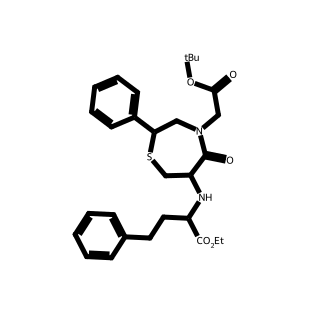 CCOC(=O)C(CCc1ccccc1)NC1CSC(c2ccccc2)CN(CC(=O)OC(C)(C)C)C1=O